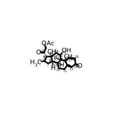 CC(=O)OCC(=O)[C@H]1C(C)C[C@H]2[C@@H]3CCC4=CC(=O)C=C[C@]4(C)[C@@]3(F)C(O)C[C@]12C